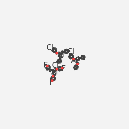 CC([CH2][Al]([CH2]C(C)c1ccc(Cl)cc1)[CH2]C(C)c1ccc(Cl)cc1)c1ccc(Cl)cc1.CC([CH2][Al]([CH2]C(C)c1ccc(F)cc1)[CH2]C(C)c1ccc(F)cc1)c1ccc(F)cc1.CC([CH2][Al]([CH2]C(C)c1ccccc1)[CH2]C(C)c1ccccc1)c1ccccc1